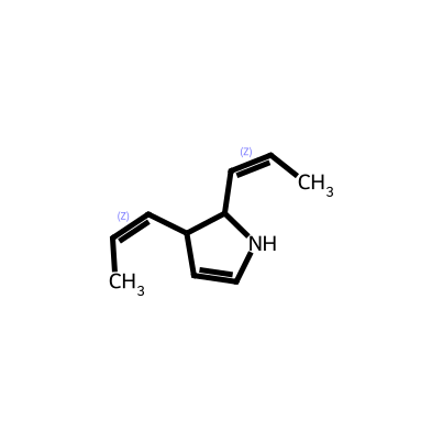 C/C=C\C1C=CNC1/C=C\C